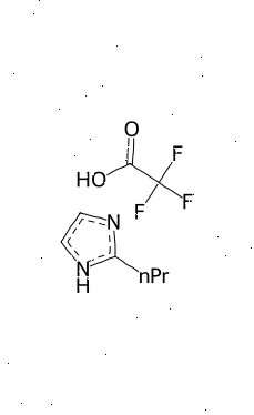 CCCc1ncc[nH]1.O=C(O)C(F)(F)F